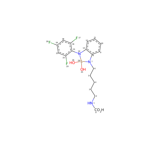 O=C(O)NCCCCCN1c2ccccc2N(c2c(F)cc(F)cc2F)S1(O)O